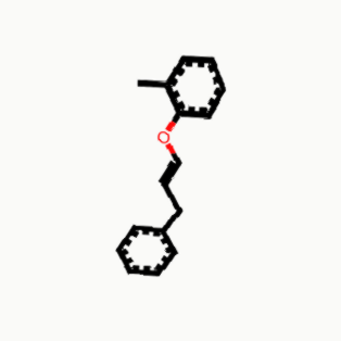 Cc1ccccc1OC=CCc1ccccc1